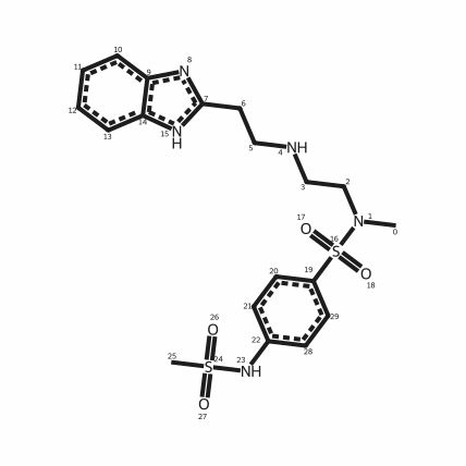 CN(CCNCCc1nc2ccccc2[nH]1)S(=O)(=O)c1ccc(NS(C)(=O)=O)cc1